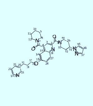 O=C(c1cc(C(=O)N2CCCCC2)c2cc(OCCCc3cccnc3)ccc2n1)N1CCC(n2cccn2)CC1